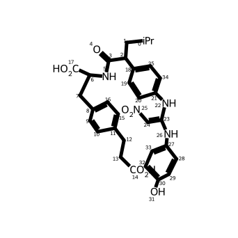 CC(C)CC(C(=O)NC(Cc1ccc(CCC(=O)O)cc1)C(=O)O)c1ccc(N/C(=C\[N+](=O)[O-])Nc2ccc(O)cc2)cc1